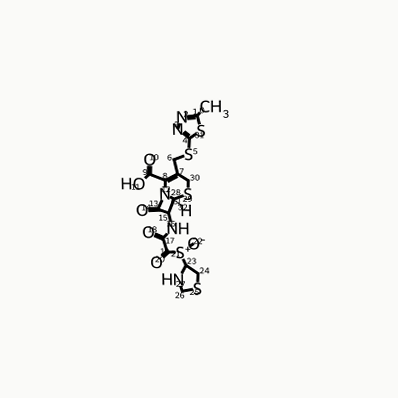 Cc1nnc(SCC2=C(C(=O)O)N3C(=O)C(NC(=O)C(=O)[S+]([O-])C4CSCN4)[C@@H]3SC2)s1